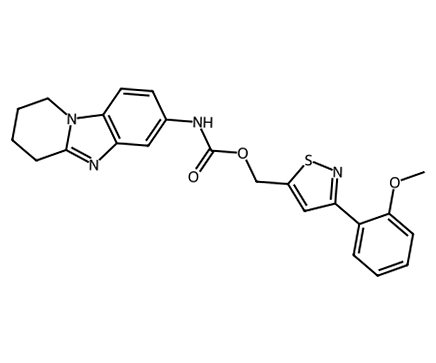 COc1ccccc1-c1cc(COC(=O)Nc2ccc3c(c2)nc2n3CCCC2)sn1